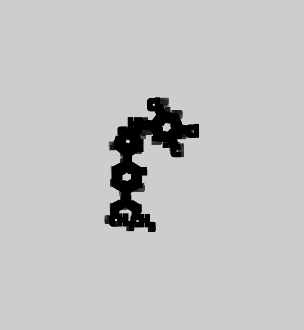 CCN(CC)c1ccc(-c2csc(Nc3cc(Cl)c(Cl)cc3Cl)n2)cc1